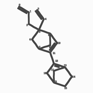 C=CCC1(C=C)CC2CC1C=C2C1=C2CCC(C2)C1